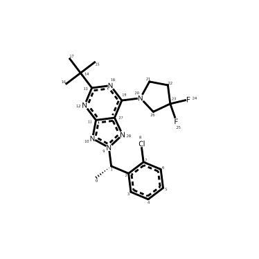 C[C@@H](c1ccccc1Cl)n1nc2nc(C(C)(C)C)nc(N3CCC(F)(F)C3)c2n1